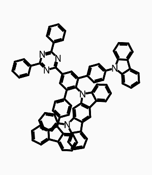 c1ccc(-c2nc(-c3ccccc3)nc(-c3cc(-c4ccc(C5c6ccccc6-c6ccccc65)cc4)c(-n4c5ccccc5c5cc6c7ccccc7n(-c7ccccc7)c6cc54)c(-c4ccc(-n5c6ccccc6c6ccccc65)cc4)c3)n2)cc1